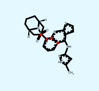 Cc1cc(Nc2nc(N[C@@H]3C[C@H]4CCC[C@@H](C3)N4S(=O)(=O)c3cccnc3)nc3sccc23)n[nH]1